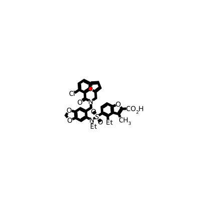 CCc1c(S(=O)(=O)N(CC)c2cc3c(cc2CN(Cc2ccco2)C(=O)c2ccccc2Cl)OCO3)ccc2oc(C(=O)O)c(C)c12